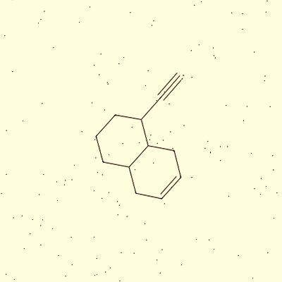 [C]#CC1CCCC2CC=CCC12